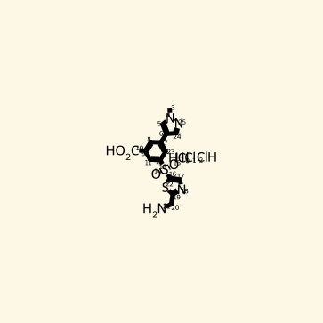 Cl.Cl.Cl.Cn1cc(-c2cc(C(=O)O)cc(S(=O)(=O)c3cnc(CN)s3)c2)cn1